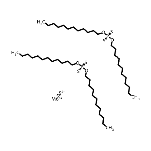 CCCCCCCCCCCCOP(=S)([S-])OCCCCCCCCCCCC.CCCCCCCCCCCCOP(=S)([S-])OCCCCCCCCCCCC.[Mo+6].[S-2].[S-2]